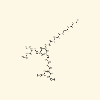 CCCCCCCCCCCCCCCc1cc(OCCCCN(CCO)CCO)cc(OCC(CC)CCCC)c1